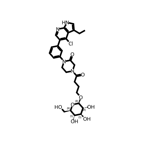 CCc1c[nH]c2ncc(-c3cccc(N4CCN(C(=O)CCCO[C@@H]5O[C@H](CO)[C@@H](O)[C@H](O)[C@H]5O)CC4=O)c3)c(Cl)c12